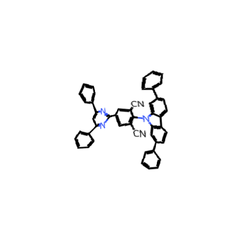 N#Cc1cc(-c2nc(-c3ccccc3)cc(-c3ccccc3)n2)cc(C#N)c1-n1c2cc(-c3ccccc3)ccc2c2ccc(-c3ccccc3)cc21